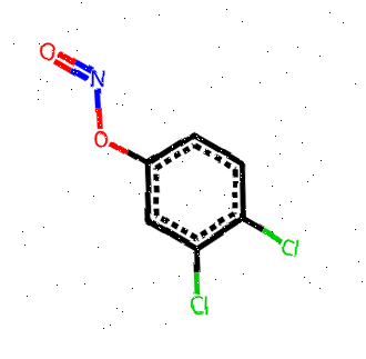 O=NOc1ccc(Cl)c(Cl)c1